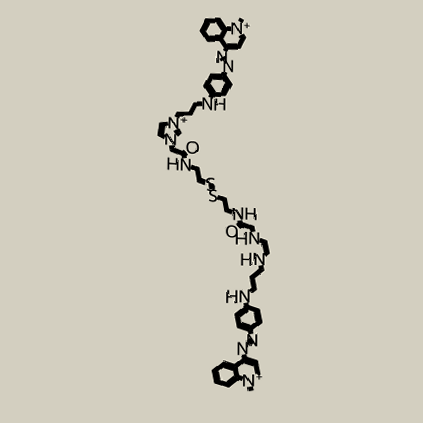 C[n+]1ccc(/N=N/c2ccc(NCCCN/C=C\NCC(=O)NCCSSCCNC(=O)Cn3cc[n+](CCCNc4ccc(/N=N/c5cc[n+](C)c6ccccc56)cc4)c3)cc2)c2ccccc21